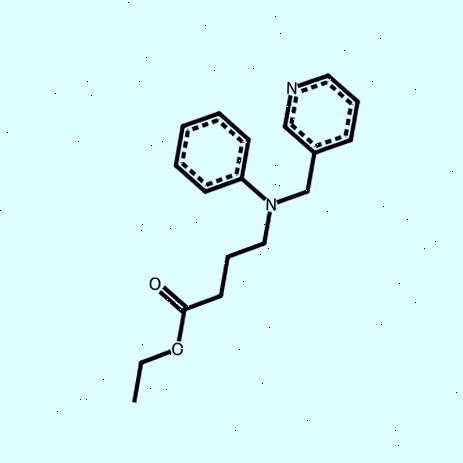 CCOC(=O)CCCN(Cc1cccnc1)c1ccccc1